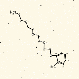 NCCOCCOCCOCCOc1cccnc1Br